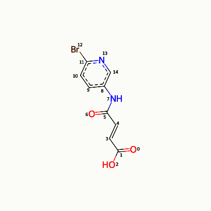 O=C(O)C=CC(=O)Nc1ccc(Br)nc1